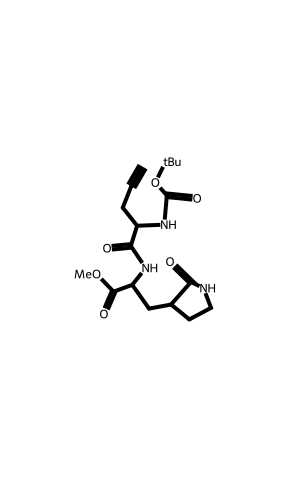 C#CCC(NC(=O)OC(C)(C)C)C(=O)NC(CC1CCNC1=O)C(=O)OC